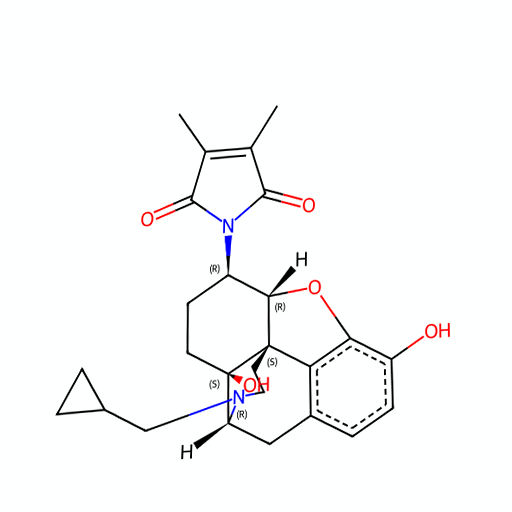 CC1=C(C)C(=O)N([C@@H]2CC[C@@]3(O)[C@H]4Cc5ccc(O)c6c5[C@@]3(CCN4CC3CC3)[C@H]2O6)C1=O